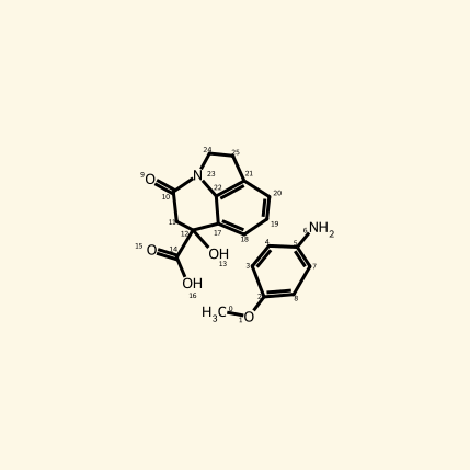 COc1ccc(N)cc1.O=C1CC(O)(C(=O)O)c2cccc3c2N1CC3